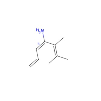 C=C/C=C(/N)C(C)=C(C)C